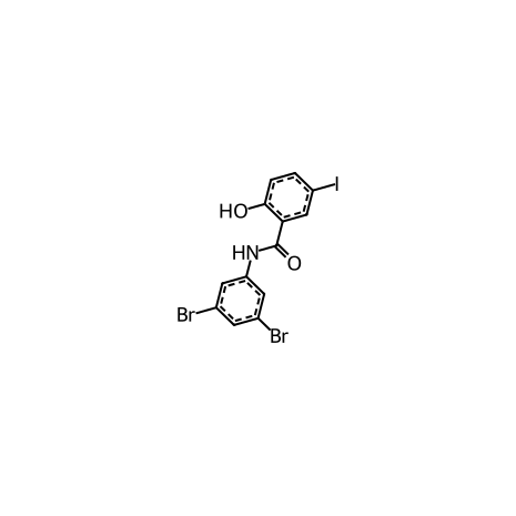 O=C(Nc1cc(Br)cc(Br)c1)c1cc(I)ccc1O